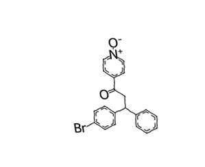 O=C(CC(c1ccccc1)c1ccc(Br)cc1)c1cc[n+]([O-])cc1